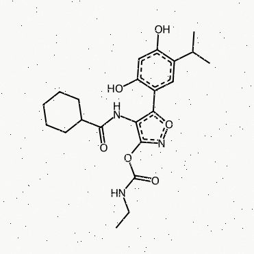 CCNC(=O)Oc1noc(-c2cc(C(C)C)c(O)cc2O)c1NC(=O)C1CCCCC1